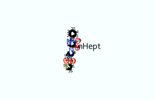 CCCCCCCOc1c(N2CC3CC2CN3S(=O)(=O)c2cccs2)cnn(-c2ccccc2)c1=O